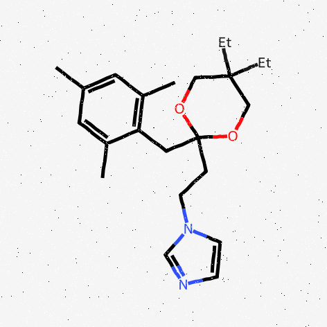 CCC1(CC)COC(CCn2ccnc2)(Cc2c(C)cc(C)cc2C)OC1